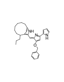 CCCC1CCCCCCc2cc1c(C=C1N=C(c3ccc[nH]3)C=C1OCc1ccccc1)[nH]2